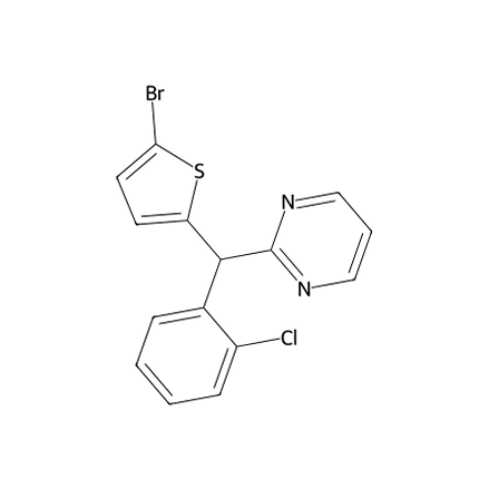 Clc1ccccc1C(c1ncccn1)c1ccc(Br)s1